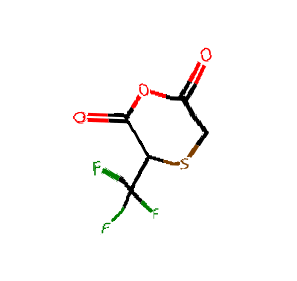 O=C1CSC(C(F)(F)F)C(=O)O1